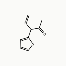 C=NC(C(C)=O)c1cccs1